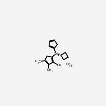 CC1=C(C)C(C)=[C]([Zr+2]([C]2=CC=CC2)[SiH]2CCC2)C1.[Cl-].[Cl-]